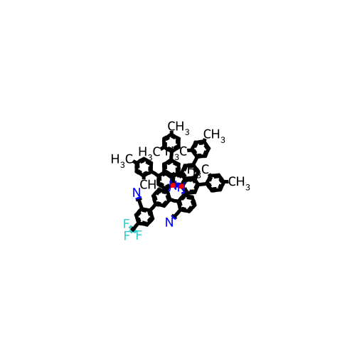 Cc1ccc(-c2ccc3c(c2)c2cc(-c4ccc(C)cc4C)ccc2n3-c2ccc(-c3ccc(C(F)(F)F)cc3C#N)cc2-c2c(C#N)cccc2-n2c3ccc(-c4ccc(C)cc4C)cc3c3cc(-c4ccc(C)cc4C)ccc32)c(C)c1